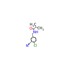 CC(C)C(=O)NCc1ccc(Cl)c(C#N)c1